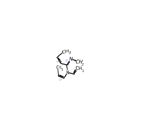 C=CN(/C=C\C)C(/C=C\C)=N\C